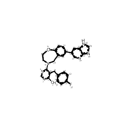 Cc1ncnc(N2CCOc3ccc(-c4cnc5nc[nH]c5c4)cc3C2)c1Cc1ccc(F)cc1